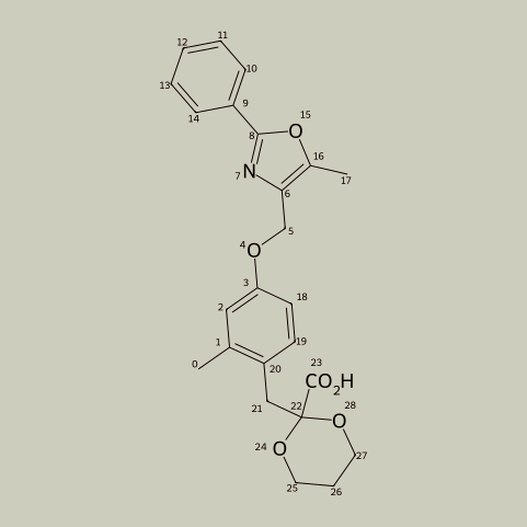 Cc1cc(OCc2nc(-c3ccccc3)oc2C)ccc1CC1(C(=O)O)OCCCO1